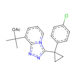 CC(=O)OC(C)(C)c1cccn2c(C3(c4ccc(Cl)cc4)CC3)nnc12